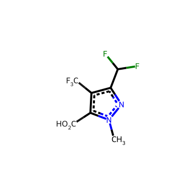 Cn1nc(C(F)F)c(C(F)(F)F)c1C(=O)O